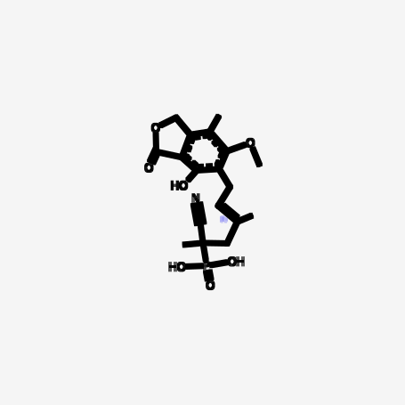 COc1c(C)c2c(c(O)c1C/C=C(\C)CC(C)(C#N)P(=O)(O)O)C(=O)OC2